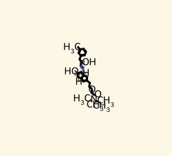 Cc1cccc(C[C@H](O)/C=C/[C@@H]2[C@H]3CC(CCOCC(=O)N(C(C)C)C(C)C)=C[C@H]3C[C@H]2O)c1